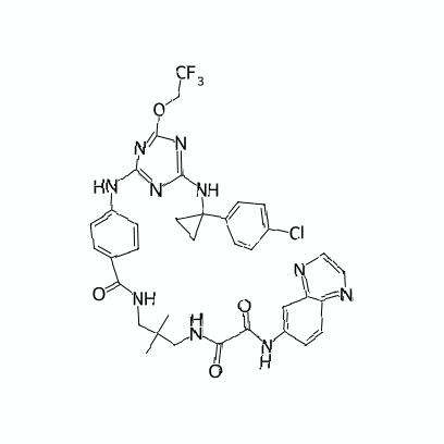 CC(C)(CNC(=O)C(=O)Nc1ccc2nccnc2c1)CNC(=O)c1ccc(Nc2nc(NC3(c4ccc(Cl)cc4)CC3)nc(OCC(F)(F)F)n2)cc1